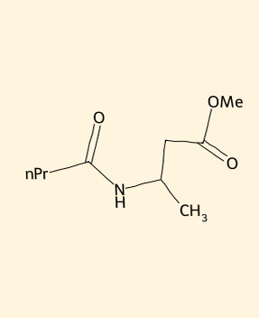 CCCC(=O)NC(C)CC(=O)OC